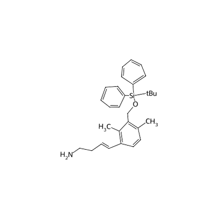 Cc1ccc(C=CCCN)c(C)c1CO[Si](c1ccccc1)(c1ccccc1)C(C)(C)C